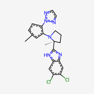 Cc1c[c]c(-n2nccn2)c(N2CCC[C@@]2(C)c2nc3cc(Cl)c(Cl)cc3[nH]2)c1